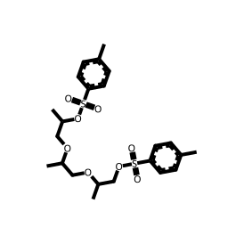 Cc1ccc(S(=O)(=O)OCC(C)OCC(C)OCC(C)OS(=O)(=O)c2ccc(C)cc2)cc1